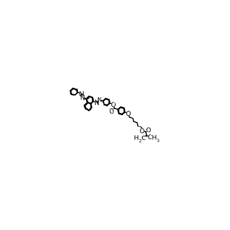 C=C(C)C(=O)OCCCCCCOc1ccc(C(=O)Oc2ccc(/N=N/c3ccc(/N=N/c4ccccc4)c4ccccc34)cc2)cc1